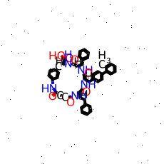 Cc1ccccc1-c1ccc(C[C@@H]2NC(=O)[C@@H](CCc3ccccc3)NC(=O)CCC(=O)Nc3ccc(cc3)C[C@@H](C(=O)O)NC(=O)[C@@H](Cc3ccccc3)NC2=O)cc1